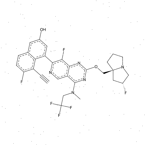 C#Cc1c(F)ccc2cc(O)cc(-c3ncc4c(N(C)CC(F)(F)F)nc(OC[C@@]56CCCN5C[C@H](F)C6)nc4c3F)c12